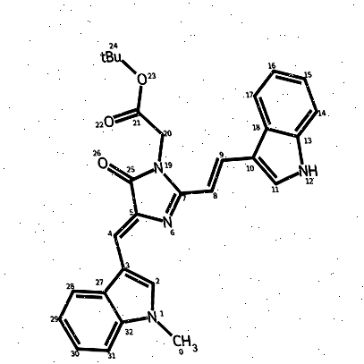 Cn1cc(/C=C2N=C(/C=C/c3c[nH]c4ccccc34)N(CC(=O)OC(C)(C)C)C\2=O)c2ccccc21